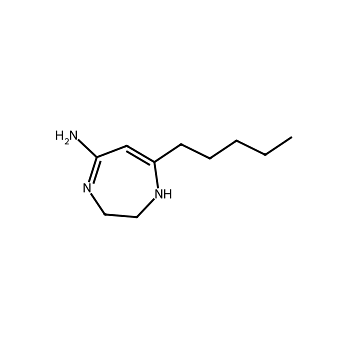 CCCCCC1=CC(N)=NCCN1